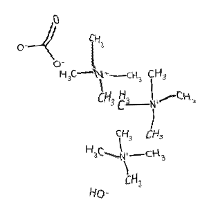 C[N+](C)(C)C.C[N+](C)(C)C.C[N+](C)(C)C.O=C([O-])[O-].[OH-]